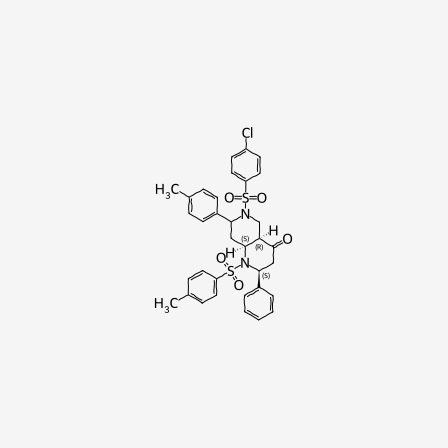 Cc1ccc(C2C[C@H]3[C@@H](CN2S(=O)(=O)c2ccc(Cl)cc2)C(=O)C[C@@H](c2ccccc2)N3S(=O)(=O)c2ccc(C)cc2)cc1